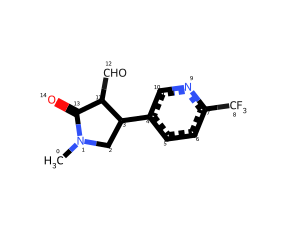 CN1CC(c2ccc(C(F)(F)F)nc2)C(C=O)C1=O